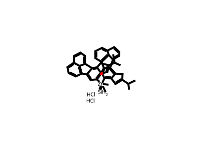 CC(C)C1=Cc2[c]([Zr]([CH3])([CH3])(=[SiH2])[c]3cc4c(c5c3C=C(C(C)C)C5)-c3cccc5cccc-4c35)cc3c(c2C1)-c1cccc2cccc-3c12.Cl.Cl